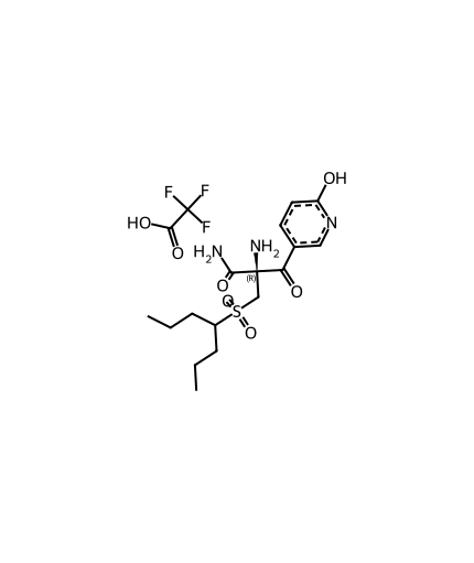 CCCC(CCC)S(=O)(=O)C[C@](N)(C(N)=O)C(=O)c1ccc(O)nc1.O=C(O)C(F)(F)F